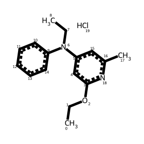 CCOc1cc(N(CC)c2ccccc2)cc(C)n1.Cl